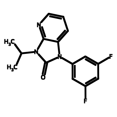 CC(C)n1c(=O)n(-c2cc(F)cc(F)c2)c2cccnc21